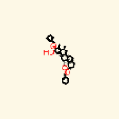 CC1=C2C(=CC(O)C1OCc1ccccc1)[C@]1(C)CC[C@@]3(C)[C@@H]4C[C@](C)(C(=O)OCc5ccccc5)CC[C@]4(C)CC[C@]3(C)C1CC2C